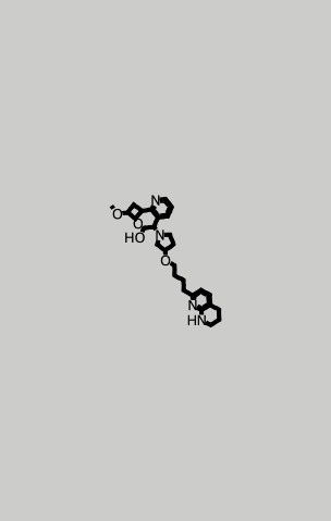 COC1CC(c2ncccc2C(C(=O)O)N2CCC(OCCCCc3ccc4c(n3)NCCC4)C2)C1